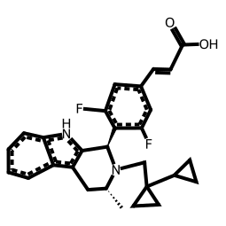 C[C@@H]1Cc2c([nH]c3ccccc23)[C@@H](c2c(F)cc(/C=C/C(=O)O)cc2F)N1CC1(C2CC2)CC1